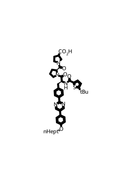 CCCCCCCOc1ccc(-c2cnc(-c3ccc(C[C@H](NC(=O)c4ccc(C(C)(C)C)s4)C(=O)N4CCC[C@H]4C(=O)N4CCC(C(=O)O)C4)cc3)nc2)cc1